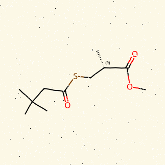 COC(=O)[C@@H](C)CSC(=O)CC(C)(C)C